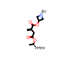 C=C(CC(=O)O[C@H](C)CCCCCC)C(=O)OC1CN(C(C)=O)C1